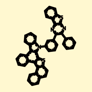 c1ccc(-c2nc3sc4ccccc4c3nc2-c2cccc(-n3c4ccccc4c4c5ccccc5c5c(sc6ccc7ccccc7c65)c43)c2)cc1